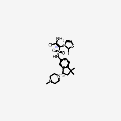 CN1CCN([C@H]2CC(C)(C)c3ccc(NS(=O)(=O)/C(=C(/N)Cl)N4C=CSC4I)cc32)CC1